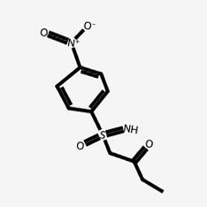 CCC(=O)CS(=N)(=O)c1ccc([N+](=O)[O-])cc1